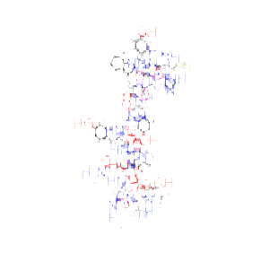 CCC(C)C(NC(=O)C(NC(=O)C(CC(N)=O)NC(=O)C(CCC(N)=O)NC(=O)C1CCCN1C(=O)C(NC(=O)C(Cc1ccc(O)cc1)NC(=O)CNC(=O)C(Cc1ccc(O)cc1)NC(=O)C(Cc1c[nH]c2ccccc12)NC(=O)C(Cc1c[nH]cn1)NC(=O)C(Cc1ccc(O)cc1)NC(=O)C(N)CS)C(C)O)C(C)C)C(=O)O